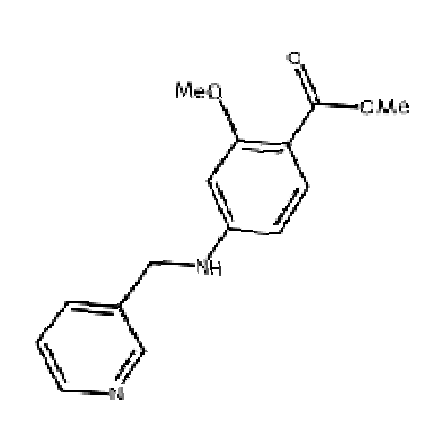 COC(=O)c1ccc(NCc2cccnc2)cc1OC